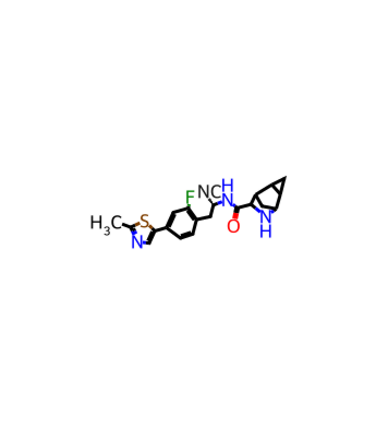 Cc1ncc(-c2ccc(C[C@@H](C#N)NC(=O)C3NC4CC3C3CC43)c(F)c2)s1